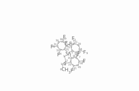 CCC[CH2][Sn]([c]1c(F)c(F)cc(F)c1F)([c]1c(F)c(F)cc(F)c1F)[c]1c(F)c(F)cc(F)c1F